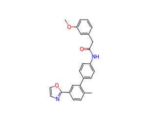 COc1cccc(CC(=O)Nc2ccc(-c3cc(-c4ncco4)ccc3C)cc2)c1